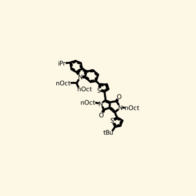 CCCCCCCCC(CCCCCCCC)n1c2cc(-c3ccc(C4=C5C(=O)N(CCCCCCCC)C(c6ccc(C(C)(C)C)s6)=C5C(=O)N4CCCCCCCC)s3)ccc2c2ccc(C(C)C)cc21